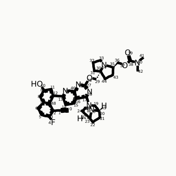 C#Cc1c(F)ccc2cc(O)cc(-c3ccc4c(N5C[C@H]6CC[C@@H](C5)N6)nc(OC[C@]56CCCN5[C@@H](COC(=O)N(C)C)CC6)nc4n3)c12